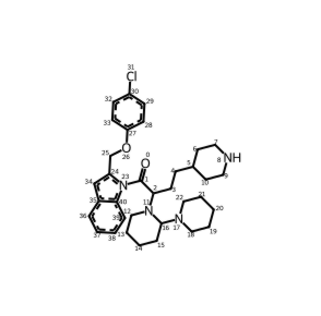 O=C(C(CCC1CCNCC1)N1CCCCC1N1CCCCC1)n1c(COc2ccc(Cl)cc2)cc2ccccc21